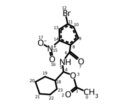 CC(=O)OC(NC(=O)c1ccc(Br)cc1[N+](=O)[O-])C1CCCCC1